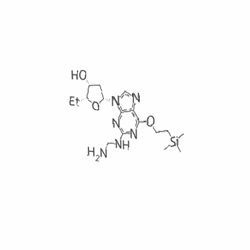 CC[C@H]1O[C@@H](n2cnc3c(OCC[Si](C)(C)C)nc(NCN)nc32)C[C@H]1O